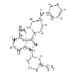 CN1CCCC(n2nc(C3C=CC(OC4=CC=CCC4)=CC3)c3c(N)ncnc32)C1